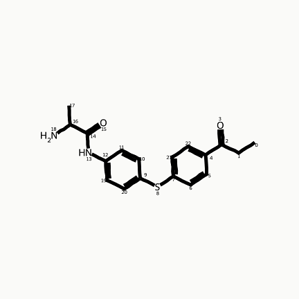 CCC(=O)c1ccc(Sc2ccc(NC(=O)C(C)N)cc2)cc1